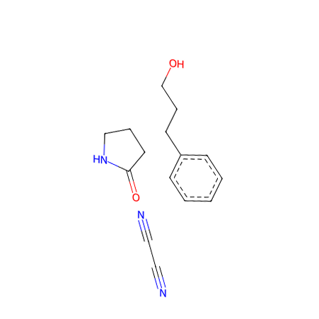 N#CC#N.O=C1CCCN1.OCCCc1ccccc1